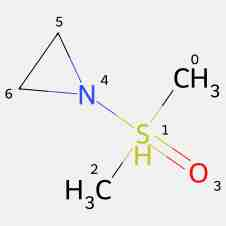 C[SH](C)(=O)N1CC1